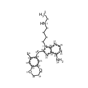 CCNCCCCn1c(Sc2cc3c(cc2I)OCCO3)nc2c(N)ncnc21